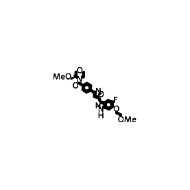 COCCOc1cc2[nH]nc(-c3cc(-c4ccc(C(=O)N5CCOC[C@@H]5COC)cc4)no3)c2cc1F